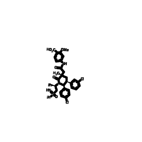 COc1cc(NC(=O)C[C@@]2(C)C[C@H](c3cccc(Cl)c3)[C@@H](c3ccc(Cl)cc3)N([C@H](CS(=N)(=O)C(C)C)C(C)C)C2=O)ccc1C(=O)O